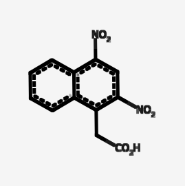 O=C(O)Cc1c([N+](=O)[O-])cc([N+](=O)[O-])c2ccccc12